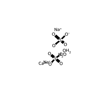 O.O.O=S(=O)([O-])[O-].O=S(=O)([O-])[O-].[Ca+2].[Na+].[Na+]